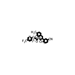 Cc1ccc(CC(c2cccc(C#N)c2)[C@H](C)NC(=O)C(C)(C)Oc2ccc(C(F)(F)F)cn2)cc1